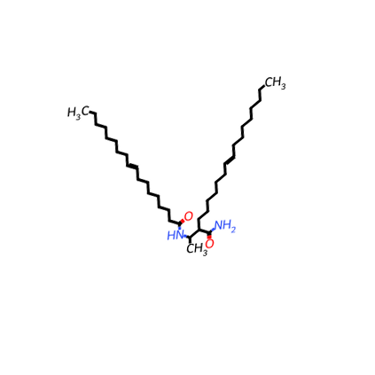 CCCCCCCCC=CCCCCCCCC(=O)NC(C)C(CCCCCCC=CCCCCCCCC)C(N)=O